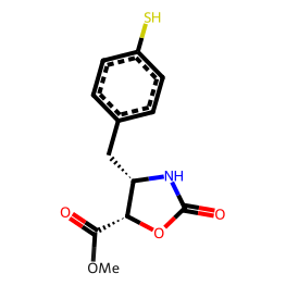 COC(=O)[C@H]1OC(=O)N[C@H]1Cc1ccc(S)cc1